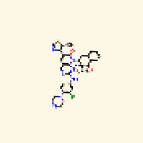 Cc1scnc1-c1cc2cnc(Nc3ccc(N4CCNCC4)c(F)c3)nc2n(C2Cc3ccccc3C(=O)C2(C)C)c1=O